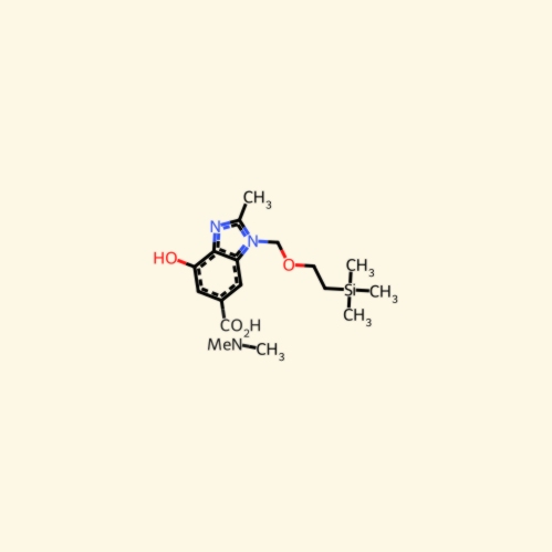 CNC.Cc1nc2c(O)cc(C(=O)O)cc2n1COCC[Si](C)(C)C